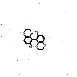 Oc1ccc2c(c1-c1c(O)ccc3c1OCCO3)OCCO2